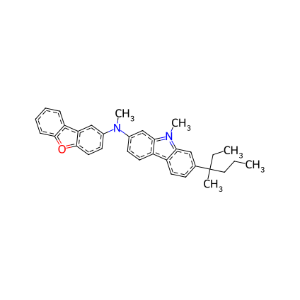 CCCC(C)(CC)c1ccc2c3ccc(N(C)c4ccc5oc6ccccc6c5c4)cc3n(C)c2c1